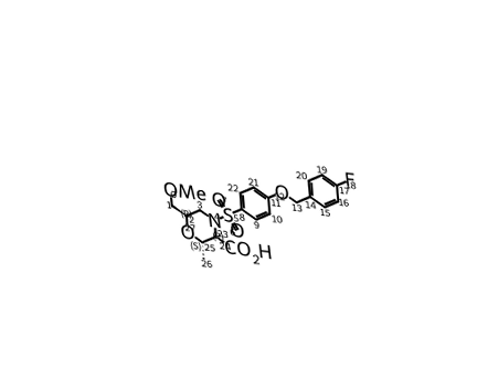 COC[C@H]1CN(S(=O)(=O)c2ccc(OCc3ccc(F)cc3)cc2)[C@@H](C(=O)O)[C@H](C)O1